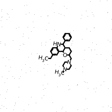 CCc1ccc2c(c1)C1OC(CN3CCN(C)CC3)CCC1C(c1ccccc1)N2